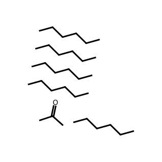 CC(C)=O.CCCCCC.CCCCCC.CCCCCC.CCCCCC.CCCCCC